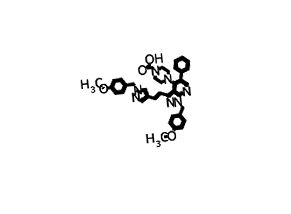 COc1ccc(Cn2cc(/C=C/c3nn(Cc4ccc(OC)cc4)c4ncc(-c5ccccc5)c(N5CCN(C(=O)O)CC5)c34)cn2)cc1